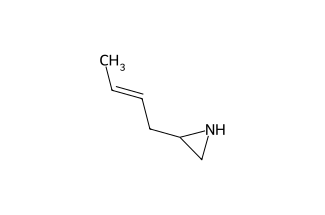 CC=CCC1CN1